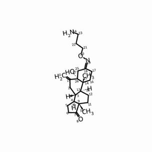 C=C1C[C@H]2[C@@H]3CCC(=O)[C@@]3(C)CC[C@@H]2[C@@]2(C)CC/C(=N/OCCCN)C[C@]12O